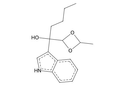 CCCCC(O)(c1c[nH]c2ccccc12)C1OC(C)O1